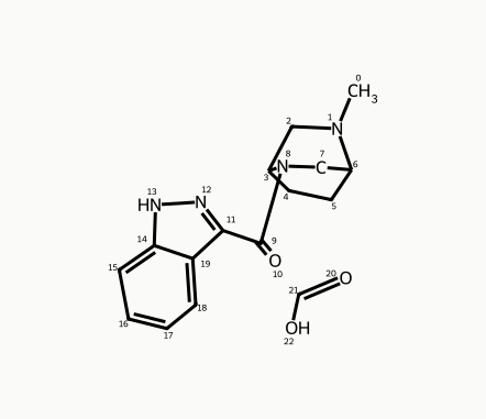 CN1CC2CCC1CN2C(=O)c1n[nH]c2ccccc12.O=CO